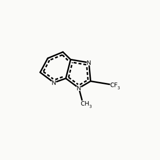 Cn1c(C(F)(F)F)nc2cccnc21